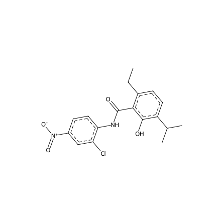 CCc1ccc(C(C)C)c(O)c1C(=O)Nc1ccc([N+](=O)[O-])cc1Cl